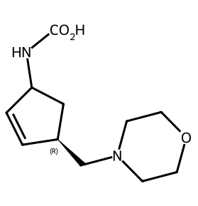 O=C(O)NC1C=C[C@H](CN2CCOCC2)C1